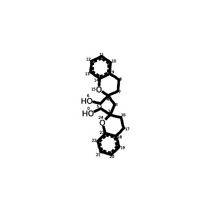 OCC1(CC2(CO)CCc3ccccc3O2)CCc2ccccc2O1